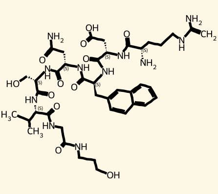 C=C(N)NCCC[C@H](N)C(=O)N[C@@H](CC(=O)O)C(=O)N[C@@H](Cc1ccc2ccccc2c1)C(=O)N[C@@H](CC(N)=O)C(=O)N[C@@H](CO)C(=O)N[C@H](C(=O)NCC(=O)NCCCO)C(C)C